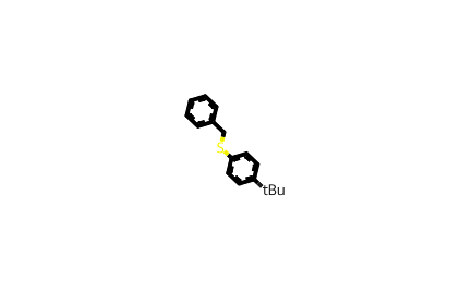 CC(C)(C)c1ccc(SCc2ccccc2)cc1